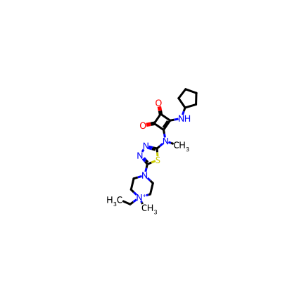 CC[N+]1(C)CCN(c2nnc(N(C)c3c(NC4CCCC4)c(=O)c3=O)s2)CC1